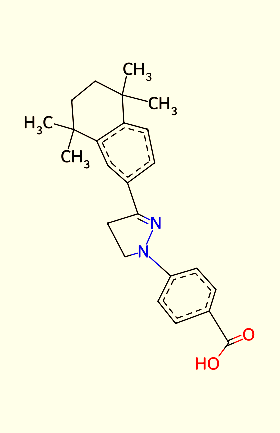 CC1(C)CCC(C)(C)c2cc(C3=NN(c4ccc(C(=O)O)cc4)CC3)ccc21